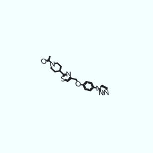 CC(=O)N1CCC(c2nc(COc3ccc(-n4ccnn4)cc3)cs2)CC1